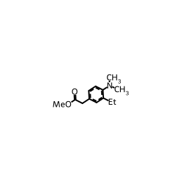 CCc1cc(CC(=O)OC)ccc1N(C)C